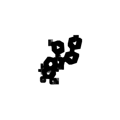 C[C@H]1C(=O)C(C#N)=C[C@@]2(C)c3nc(-c4cccc(-c5ccncc5)c4)n(-c4cccc(F)c4)c3CC[C@H]12